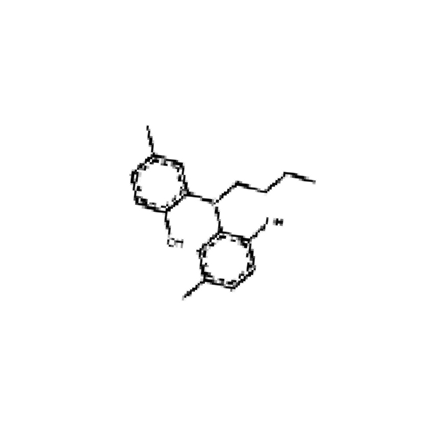 CCCCP(c1cc(C)ccc1O)c1cc(C)ccc1O